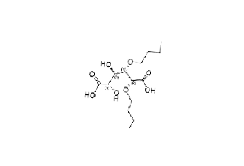 CCCCO[C@@H]([C@H](O)[C@H](O)C(=O)O)[C@@H](OCCCC)C(=O)O